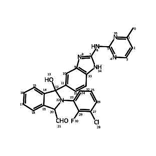 Cc1ccnc(Nc2nc3cc(C4(O)c5ccccc5C(C=O)N4c4cccc(Cl)c4F)ccc3[nH]2)n1